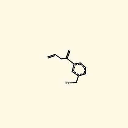 C=CCC(=C)c1cccc(CC(C)C)c1